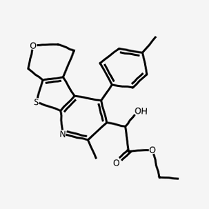 CCOC(=O)C(O)c1c(C)nc2sc3c(c2c1-c1ccc(C)cc1)CCOC3